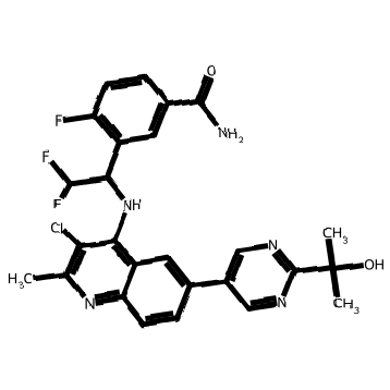 Cc1nc2ccc(-c3cnc(C(C)(C)O)nc3)cc2c(NC(c2cc(C(N)=O)ccc2F)C(F)F)c1Cl